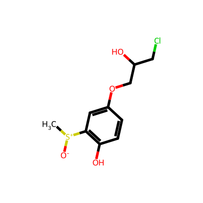 C[S+]([O-])c1cc(OCC(O)CCl)ccc1O